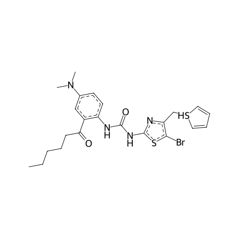 CCCCCC(=O)c1cc(N(C)C)ccc1NC(=O)Nc1nc(C[SH]2C=CC=C2)c(Br)s1